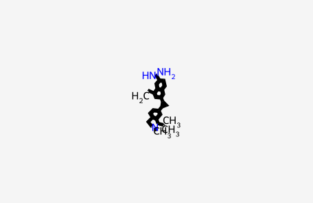 C=Cc1cc(C2CC2c2ccc3c(c2)C(C(C)C)N(C)CC3)cc2ccc(C(=N)N)cc12